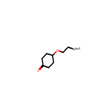 CCCCCCCOC1CCC(=O)CC1